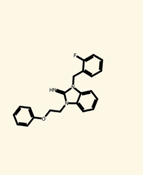 N=c1n(CCOc2ccccc2)c2ccccc2n1Cc1ccccc1F